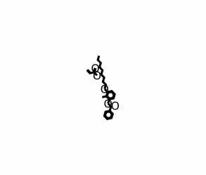 C=CC(=O)OC(CCCCC)CCCOc1cccc(OC(=O)c2ccccc2)c1C